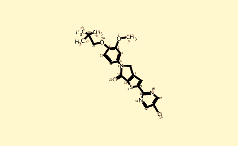 COc1cc(N2Cc3cc(-c4ncc(Cl)cn4)sc3C2=O)ccc1OCC(C)(C)C